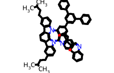 CC(C)CCc1ccc2c(c1)c1ccc3c4cc(CCC(C)C)ccc4n(-c4cccc(-c5cnc6ccccc6c5)n4)c3c1n2-c1cc(-c2ccccc2)cc(-c2cc(-c3ccccc3)cc(-c3ccccc3)c2)c1